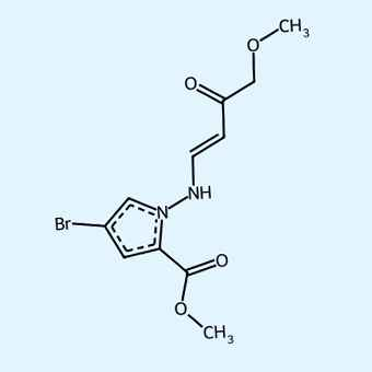 COCC(=O)C=CNn1cc(Br)cc1C(=O)OC